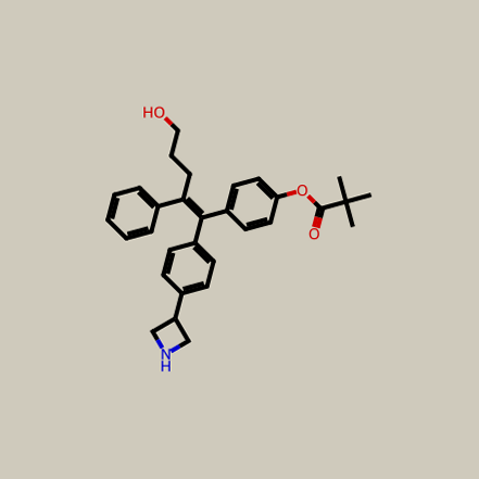 CC(C)(C)C(=O)Oc1ccc(/C(=C(\CCCO)c2ccccc2)c2ccc(C3CNC3)cc2)cc1